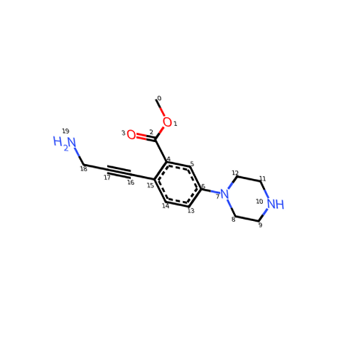 COC(=O)c1cc(N2CCNCC2)ccc1C#CCN